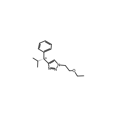 CCOCCn1cc([C@@H](c2ccccc2)C(C)C)nn1